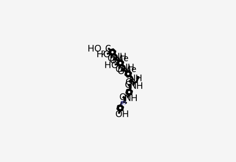 C#CCC(NC(=O)c1ccc(NC(=O)/C(C)=C/c2ccc(O)cc2)cc1)C(=O)Nc1ccc(C(=O)Nc2ccc(C(=O)Nc3ccc(C(=O)O)c(O)c3OC)c(O)c2OC)cc1